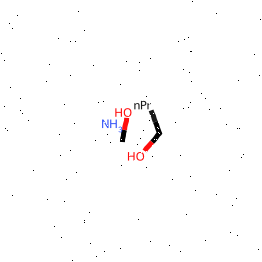 CCCCO.CO.N